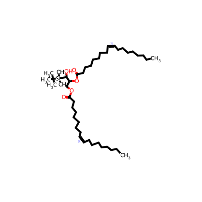 CCCCCCCC/C=C\CCCCCCCC(=O)OCC(OC(=O)CCCCCCC/C=C\CCCCCCCC)C(O)[Si](C)(C)C(C)(C)C